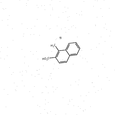 Cc1c(C(=O)O)ccc2ccccc12.[Tl]